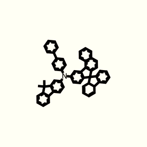 CC1(C)c2ccccc2-c2ccc(N(c3ccc(-c4ccccc4)cc3)c3ccc4c(c3)-c3c(ccc5ccccc35)C43c4ccccc4C4C=CC=CC43)cc21